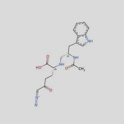 CC(=O)N[C@H](CN[C@H](CCC(=O)C=[N+]=[N-])C(=O)O)Cc1c[nH]c2ccccc12